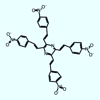 O=[N+]([O-])c1ccc(C=Cc2nc(C=Cc3ccc([N+](=O)[O-])cc3)c(C=Cc3ccc([N+](=O)[O-])cc3)nc2C=Cc2ccc([N+](=O)[O-])cc2)cc1